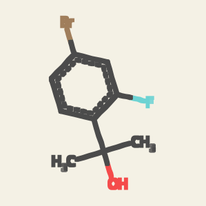 CC(C)(O)c1ccc(Br)cc1F